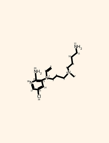 C=CN(CCCN(C)CCCCN)c1cc(Cl)cnc1N